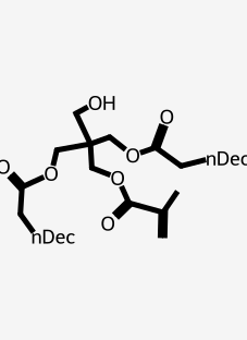 C=C(C)C(=O)OCC(CO)(COC(=O)CCCCCCCCCCC)COC(=O)CCCCCCCCCCC